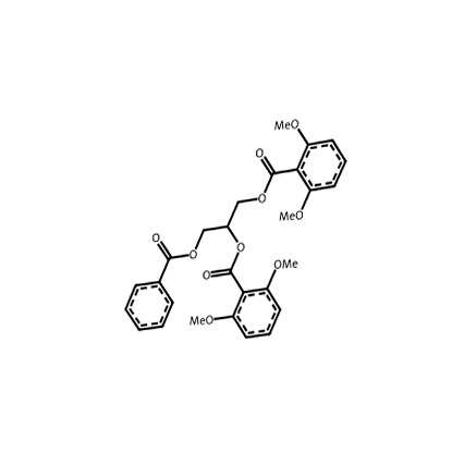 COc1cccc(OC)c1C(=O)OCC(COC(=O)c1ccccc1)OC(=O)c1c(OC)cccc1OC